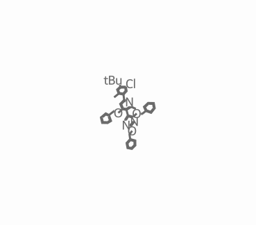 Cc1cc(C(C)(C)C)c(Cl)cc1-c1cc(OCc2ccccc2)c(-c2cnc(OCc3ccccc3)nc2OCc2ccccc2)c(C)n1